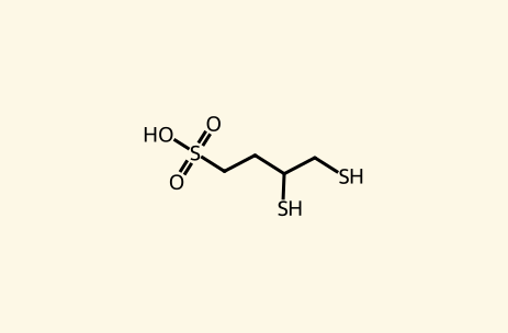 O=S(=O)(O)CCC(S)CS